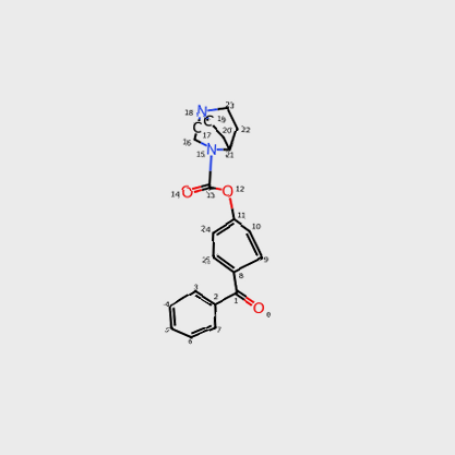 O=C(c1ccccc1)c1ccc(OC(=O)N2CCN3CCC2CC3)cc1